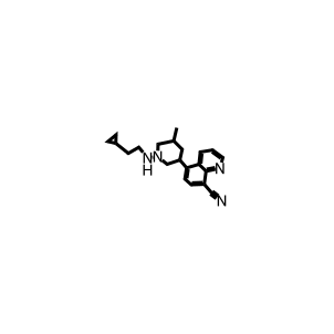 CC1CC(c2ccc(C#N)c3ncccc23)CN(NCCC2CC2)C1